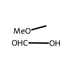 COC.O=CO